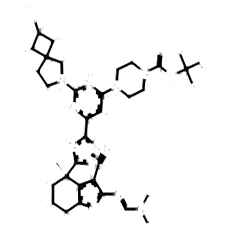 CN(C)/C=N/c1sc2c(c1C#N)[C@@](C)(c1nc(-c3cc(N4CCN(C(=O)OC(C)(C)C)CC4)nc(N4CCC5(CC(O)C5)C4)n3)no1)CCC2